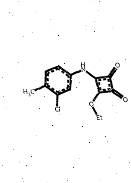 CCOc1c(Nc2ccc(C)c(Cl)c2)c(=O)c1=O